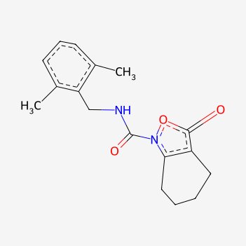 Cc1cccc(C)c1CNC(=O)n1oc(=O)c2c1CCCC2